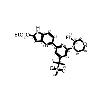 CCOC(=O)c1cc2nc(-c3cc(C(C)(C)S(C)(=O)=O)cc(N4CCOC[C@@H]4CC)n3)ccc2[nH]1